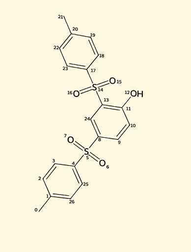 Cc1ccc(S(=O)(=O)c2ccc(O)c(S(=O)(=O)c3ccc(C)cc3)c2)cc1